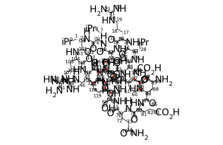 CC(C)C[C@H](NC(=O)[C@H](CC(C)C)NC(=O)[C@@H](NC(=O)[C@H](CCCNC(=N)N)NC(=O)[C@H](CC(C)C)NC(=O)[C@H](CC(=O)O)NC(=O)[C@@H](NC(=O)[C@H](CCCNC(=N)N)NC(=O)[C@H](Cc1ccccc1)NC(=O)[C@H](CO)NC(=O)[C@H](CCC(N)=O)NC(=O)[C@H](CCC(=O)O)NC(=O)[C@H](CC(N)=O)NC(=O)CN)C(C)C)C(C)O)C(=O)NC(CCCNC(=N)N)C(=O)N[C@@H](Cc1ccc(O)c(I)c1)C(=O)N[C@@H](C)C(=O)O